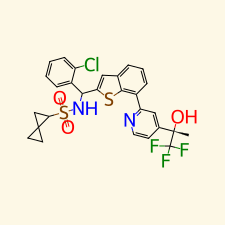 C[C@](O)(c1ccnc(-c2cccc3cc(C(NS(=O)(=O)C4CC45CC5)c4ccccc4Cl)sc23)c1)C(F)(F)F